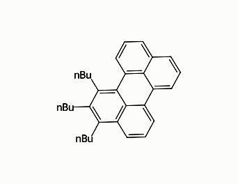 CCCCc1c(CCCC)c2cccc3c4cccc5cccc(c(c1CCCC)c23)c54